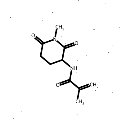 C=C(C)C(=O)NC1CCC(=O)N(C)C1=O